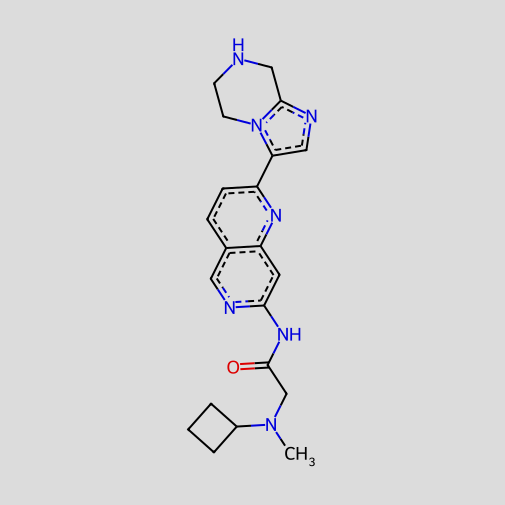 CN(CC(=O)Nc1cc2nc(-c3cnc4n3CCNC4)ccc2cn1)C1CCC1